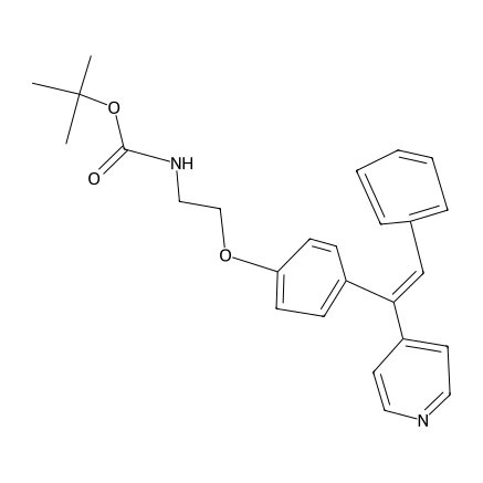 CC(C)(C)OC(=O)NCCOc1ccc(/C(=C\c2ccccc2)c2ccncc2)cc1